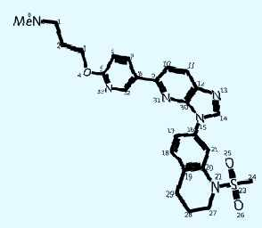 CNCCCOc1ccc(-c2ccc3ncn(-c4ccc5c(c4)N(S(C)(=O)=O)CCC5)c3n2)cn1